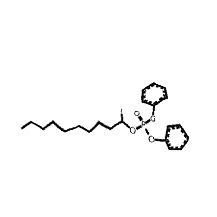 CCCCCCCCCC(I)OP(=O)(Oc1ccccc1)Oc1ccccc1